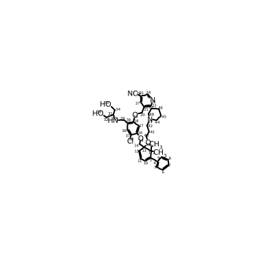 CC1(C)C(c2ccccc2)=CC=CC1(COc1cc(OCc2cncc(C#N)c2)c(CNC(CO)CO)cc1Cl)OCCCN1CCCCC1